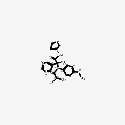 C[C@](C(=O)N[C@@H]1CCOC1)(c1cncnc1)N(C(=O)[C@H](F)Cl)c1ccc(SC(F)(F)F)cc1